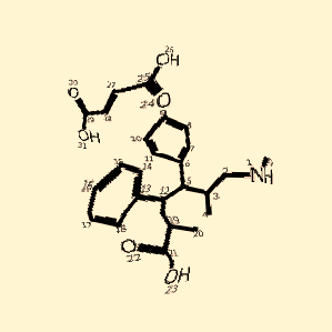 CNCC(C)C(c1ccccc1)C(c1ccccc1)C(C)C(=O)O.O=C(O)C=CC(=O)O